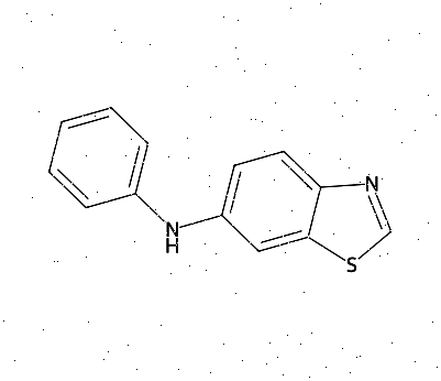 c1ccc(Nc2ccc3ncsc3c2)cc1